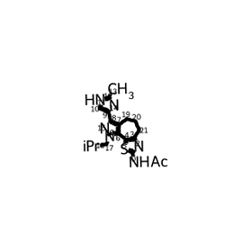 CC(=O)Nc1nc2c(s1)-c1c(c(-c3c[nH]c(C)n3)nn1CC(C)C)CCC2